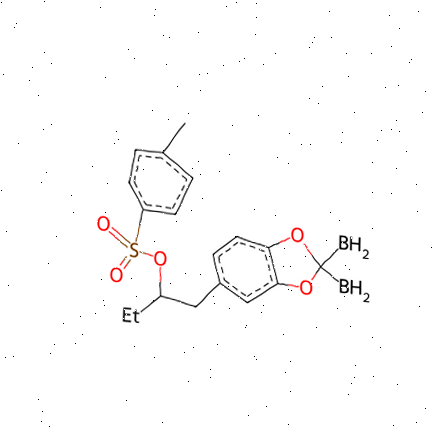 BC1(B)Oc2ccc(CC(CC)OS(=O)(=O)c3ccc(C)cc3)cc2O1